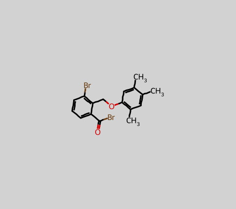 Cc1cc(C)c(OCc2c(Br)cccc2C(=O)Br)cc1C